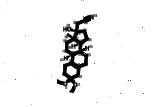 COC1(OC)CCC2=C(CC[C@@H]3[C@@H]2CC[C@@]2(C)[C@H]3CC[C@@]2(O)CC#N)C1